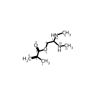 C=C(C)C(=O)OCC(NC)NC